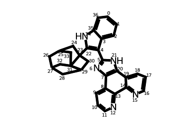 c1ccc2c(-c3nc4c5cccnc5c5ncccc5c4[nH]3)c(C34CC5CC6CC(C3)C4(C6)C5)[nH]c2c1